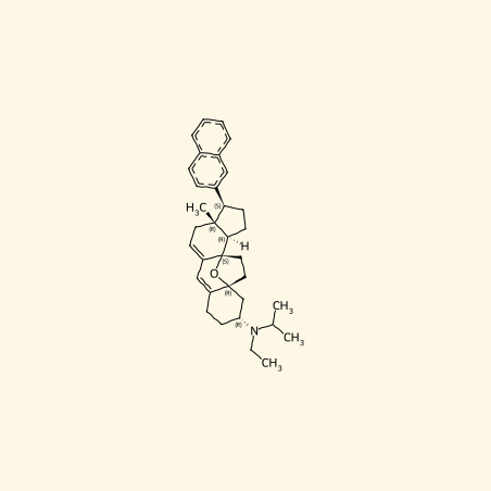 CCN(C(C)C)[C@@H]1CCC2=CC3=CC[C@]4(C)[C@@H](c5ccc6ccccc6c5)CC[C@H]4[C@@]34CC[C@]2(C1)O4